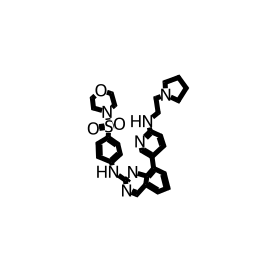 O=S(=O)(c1ccc(Nc2ncc3cccc(-c4ccc(NCCN5CCCC5)nc4)c3n2)cc1)N1CCOCC1